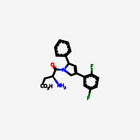 N[C@@H](CC(=O)O)C(=O)N1CC(c2cc(F)ccc2F)=CC1c1ccccc1